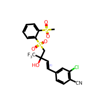 CS(=O)(=O)c1ccccc1S(=O)(=O)CC(O)(/C=C/c1ccc(C#N)c(Cl)c1)C(F)(F)F